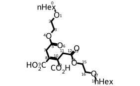 CCCCCCOCCOC(=O)CC(C(=O)O)=C(CC(=O)OCCOCCCCCC)C(=O)O